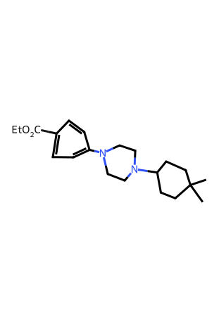 CCOC(=O)c1ccc(N2CCN(C3CCC(C)(C)CC3)CC2)cc1